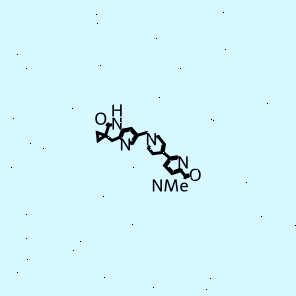 CNC(=O)c1ccc(C2=CCN(Cc3cnc4c(c3)NC(=O)C3(CC3)C4)CC2)cn1